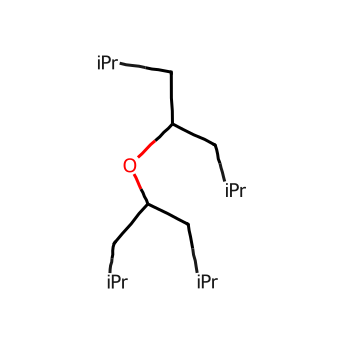 CC(C)CC(CC(C)C)OC(CC(C)C)CC(C)C